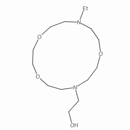 CCN1CCOCCOCCN(CCO)CCOCC1